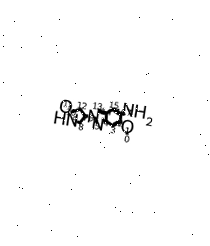 COc1cc2nn(C3CNC(=O)C3)cc2cc1N